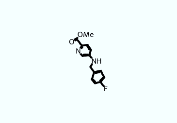 COC(=O)c1ccc(NCc2ccc(F)cc2)cn1